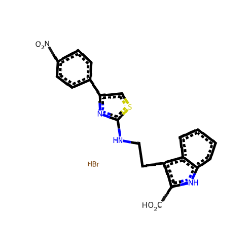 Br.O=C(O)c1[nH]c2ccccc2c1CCNc1nc(-c2ccc([N+](=O)[O-])cc2)cs1